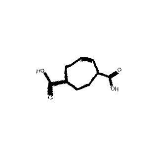 O=C(O)C1C=CCC(C(=O)O)CC1